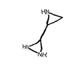 C1NC1C1NN1